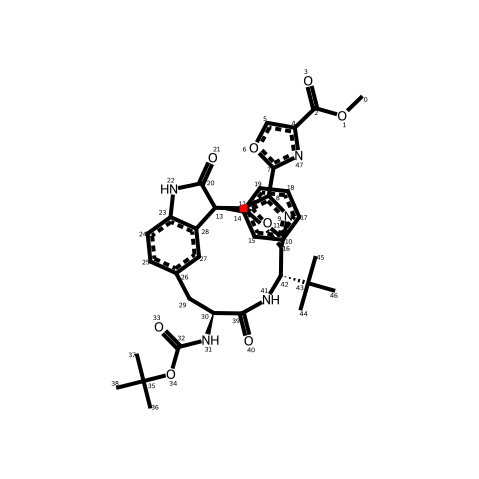 COC(=O)c1coc(-c2nc3oc2[C@@]2(c4ccccc4)C(=O)Nc4ccc(cc42)C[C@H](NC(=O)OC(C)(C)C)C(=O)N[C@H]3C(C)(C)C)n1